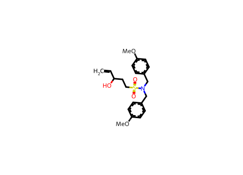 C=CC(O)CCS(=O)(=O)N(Cc1ccc(OC)cc1)Cc1ccc(OC)cc1